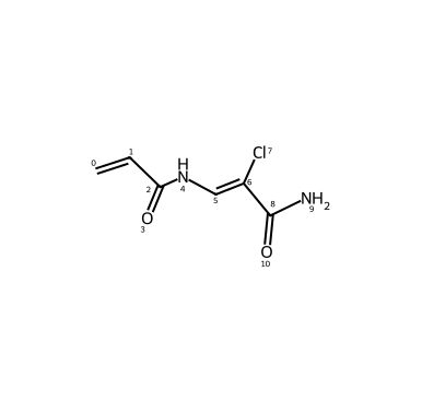 C=CC(=O)NC=C(Cl)C(N)=O